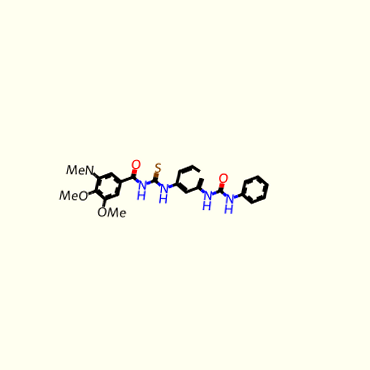 C=C(/C=C(\C=C/C)NC(=S)NC(=O)c1cc(NC)c(OC)c(OC)c1)NC(=O)Nc1ccccc1